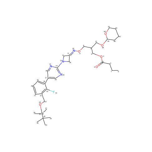 CCCC(=O)OCC(CON=C1CN(c2ncc(-c3cccc(CO[Si](C)(C)C(C)(C)C)c3F)cn2)C1)COC1CCCCO1